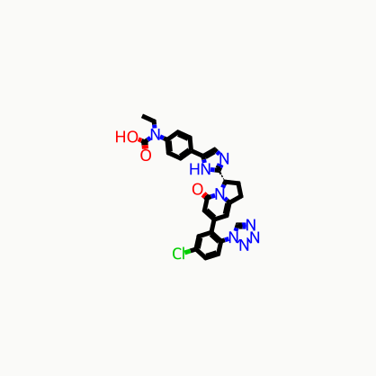 CCN(C(=O)O)c1ccc(-c2cnc([C@@H]3CCc4cc(-c5cc(Cl)ccc5-n5cnnn5)cc(=O)n43)[nH]2)cc1